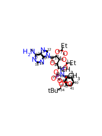 CCC(=O)O[C@H]1[C@@H](OC(=O)CC)[C@H](n2cnc3c(N)ncnc32)O[C@@H]1[C@H](C)OP(=O)(N[C@@H](C)C(=O)OCC(C)(C)C)Oc1ccccc1